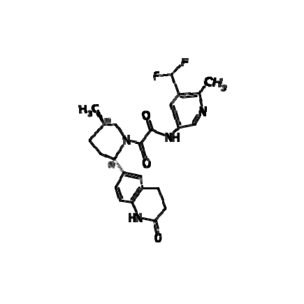 Cc1ncc(NC(=O)C(=O)N2C[C@H](C)CC[C@H]2c2ccc3c(c2)CCC(=O)N3)cc1C(F)F